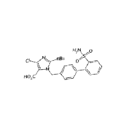 CCCCc1nc(Cl)c(C(=O)O)n1Cc1ccc(-c2ccccc2S(N)(=O)=O)cc1